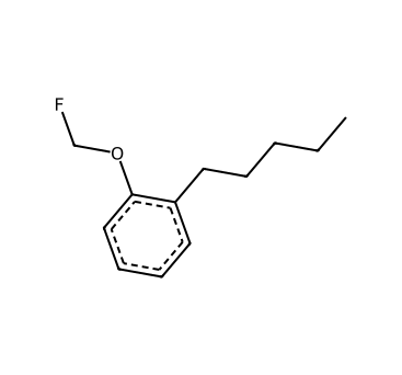 CCCCCc1ccccc1OCF